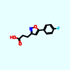 O=C(O)CCc1cc(-c2ccc(F)cc2)on1